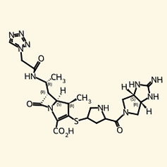 C[C@@H](NC(=O)Cn1cnnn1)[C@H]1C(=O)N2C(C(=O)O)=C(SC3CNC(C(=O)N4C[C@@H]5NC(=N)N[C@@H]5C4)C3)[C@H](C)[C@H]12